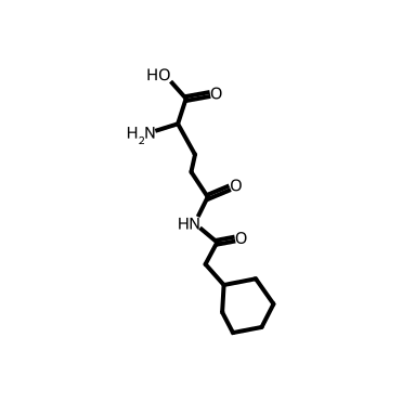 NC(CCC(=O)NC(=O)CC1CCCCC1)C(=O)O